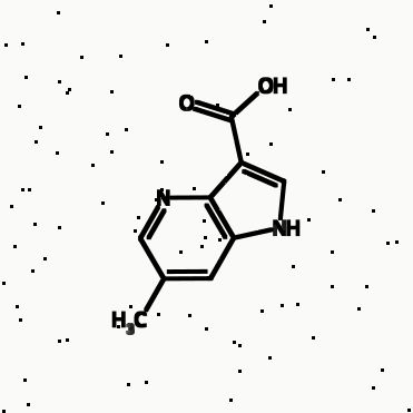 Cc1cnc2c(C(=O)O)c[nH]c2c1